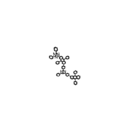 c1ccc(-c2cc(-c3ccc(-c4ccc5c(-c6ccccc6)c6ccccc6c(-c6ccccc6)c5c4)cc3)nc(-c3ccc(-c4ccc5c(-c6ccccc6)c6ccc(-c7nc(-c8ccccc8)nc(-c8ccccc8)n7)cc6c(-c6ccccc6)c5c4)cc3)n2)cc1